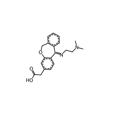 CN(C)CC/N=C1\c2ccccc2COc2cc(CC(=O)O)ccc21